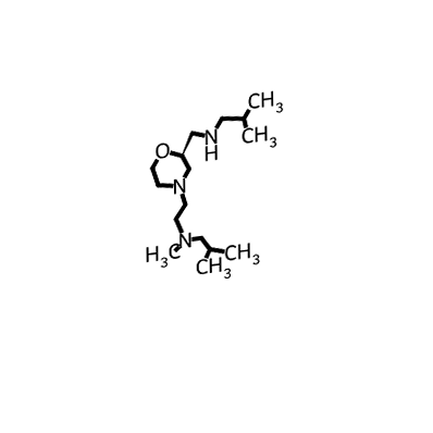 CC(C)CNC[C@H]1CN(CCN(C)CC(C)C)CCO1